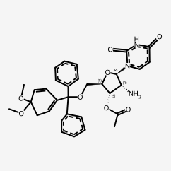 COC1(OC)C=CC(C(OC[C@H]2O[C@@H](n3ccc(=O)[nH]c3=O)[C@H](N)[C@@H]2OC(C)=O)(c2ccccc2)c2ccccc2)=CC1